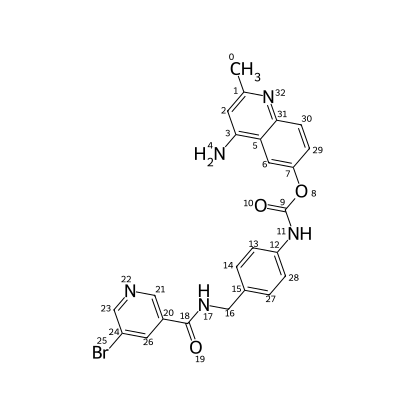 Cc1cc(N)c2cc(OC(=O)Nc3ccc(CNC(=O)c4cncc(Br)c4)cc3)ccc2n1